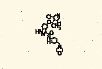 CC(Oc1ccc2[nH]nc(C(=O)Nc3ccc(CN4CCOCC4)cc3)c2c1)c1c(Cl)cncc1Cl